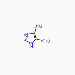 CC(C)(C)c1nc[nH]c1C=O